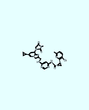 Cc1ccc(C#N)c([C@H]2C[C@@H]2C(=O)Nc2cc(NCc3cn4cc(C5CC5)cc(N5CC(=O)N(C)C5=O)c4n3)ncn2)n1